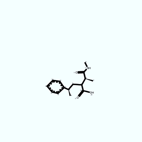 CNC(=O)[C@@H](C)C(C[C@@H](C)c1ccccc1)C(=O)O